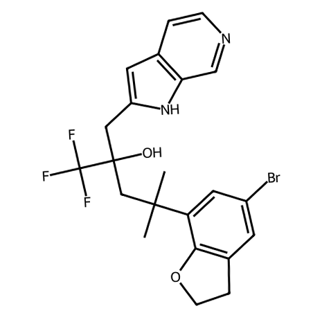 CC(C)(CC(O)(Cc1cc2ccncc2[nH]1)C(F)(F)F)c1cc(Br)cc2c1OCC2